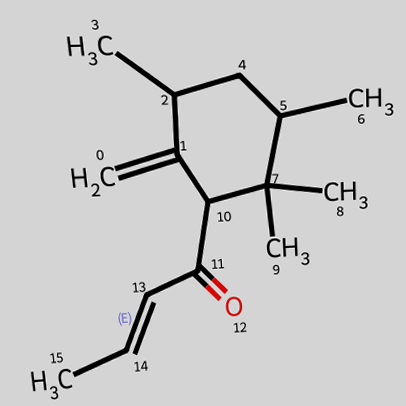 C=C1C(C)CC(C)C(C)(C)C1C(=O)/C=C/C